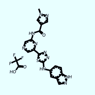 Cn1cc(C(=O)Nc2cncc(-c3nnc(Nc4ccc5[nH]ncc5c4)s3)n2)cn1.O=C(O)C(F)(F)F